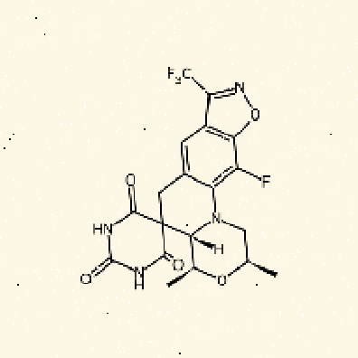 C[C@@H]1CN2c3c(cc4c(C(F)(F)F)noc4c3F)CC3(C(=O)NC(=O)NC3=O)[C@H]2[C@H](C)O1